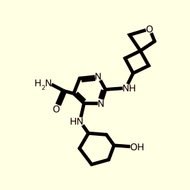 NC(=O)c1cnc(NC2CC3(COC3)C2)nc1NC1CCCC(O)C1